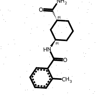 Cc1ccccc1C(=O)N[C@@H]1CCC[C@@H](C(N)=O)C1